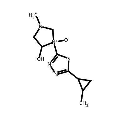 CC1CC1c1nnc([N+]2([O-])CN(C)CC2O)s1